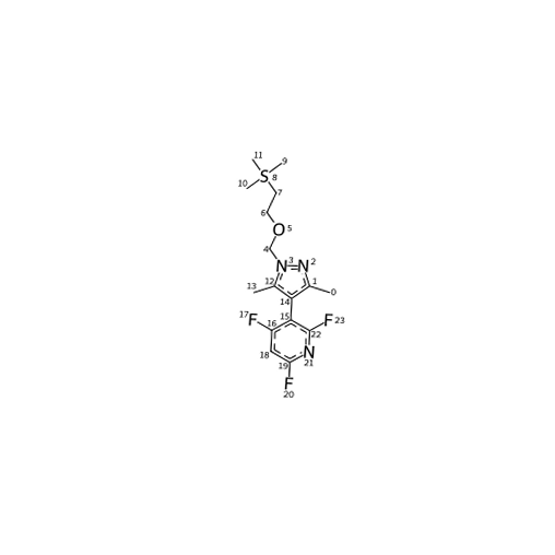 Cc1nn(COCCS(C)(C)C)c(C)c1-c1c(F)cc(F)nc1F